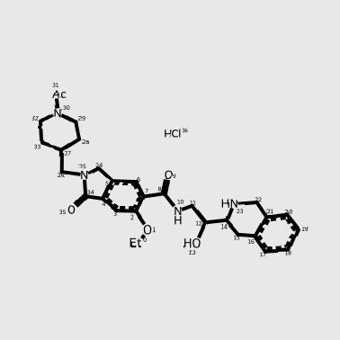 CCOc1cc2c(cc1C(=O)NCC(O)C1Cc3ccccc3CN1)CN(CC1CCN(C(C)=O)CC1)C2=O.Cl